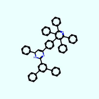 C1=C(c2ccc(-c3c(-c4ccccc4)c(-c4ccccc4)nc(-c4ccccc4)c3-c3ccccc3)cc2)N=C(c2cc(-c3ccccc3)cc(-c3ccccc3)c2)NC1c1ccccc1